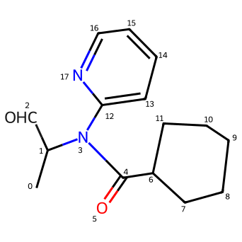 CC(C=O)N(C(=O)C1CCCCC1)c1ccccn1